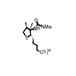 CNC(=O)N[C@@]1(C)[C@H](C)CS[C@H]1CCCCC(=O)O